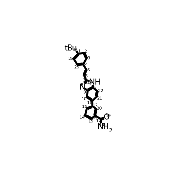 CC(C)(C)c1ccc(C=Cc2nc3cc(-c4cccc(C(N)=O)c4)ccc3[nH]2)cc1